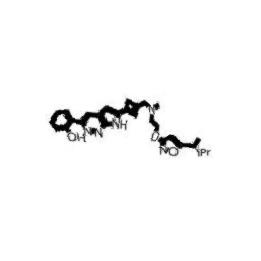 CC(C)[C@@H](C)c1cc(OCCN(C)CC23CC(c4cc5cc(-c6ccccc6O)nnc5[nH]4)(C2)C3)no1